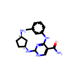 Cc1cccc(NC2=NC(N[C@H]3CC[C@@H](N)C3)NC=C2C(N)=O)c1